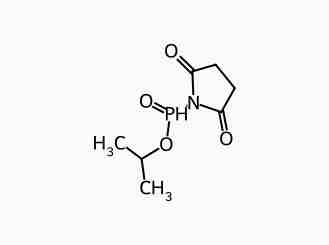 CC(C)O[PH](=O)N1C(=O)CCC1=O